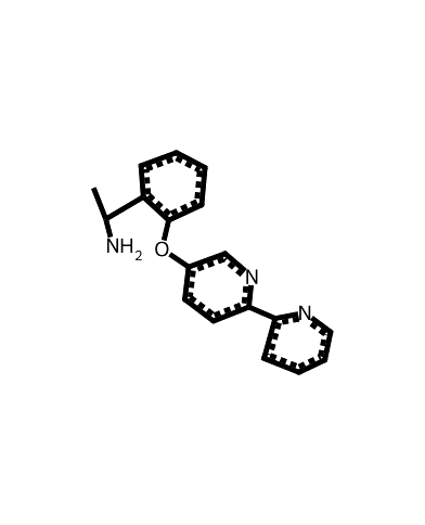 CC(N)c1ccccc1Oc1ccc(-c2ccccn2)nc1